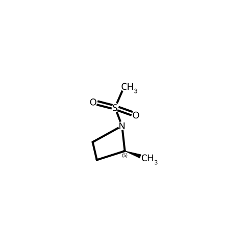 C[C@H]1CCN1S(C)(=O)=O